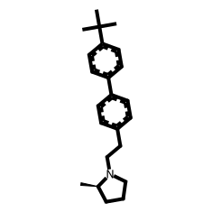 C[C@@H]1CCCN1CCc1ccc(-c2ccc(C(C)(C)C)cc2)cc1